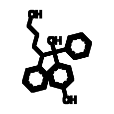 OCCCC(c1ccccc1)C(O)(c1ccccc1)c1ccc(O)cc1